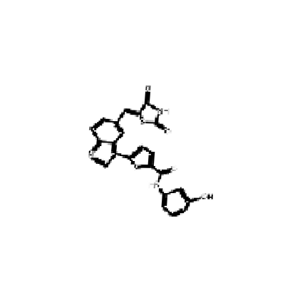 O=C1NC(=O)C(=Cc2ccc3nccc(-c4ccc(C(=O)Nc5cccc(O)c5)s4)c3c2)S1